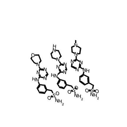 CN1CCN(c2ncnc(Nc3cccc(CS(N)(=O)=O)c3)n2)CC1.NS(=O)(=O)Cc1cccc(Nc2ncnc(N3CCNCC3)n2)c1.NS(=O)(=O)Cc1cccc(Nc2ncnc(N3CCOCC3)n2)c1